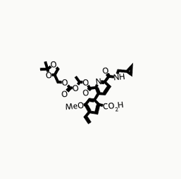 C=Cc1cc(C(=O)O)c(-c2ccc(C(=O)NCC3CC3)nc2C(=O)OC(C)OC(=O)OCC2COC(C)(C)O2)cc1OC